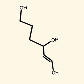 OC=CC(O)CCCO